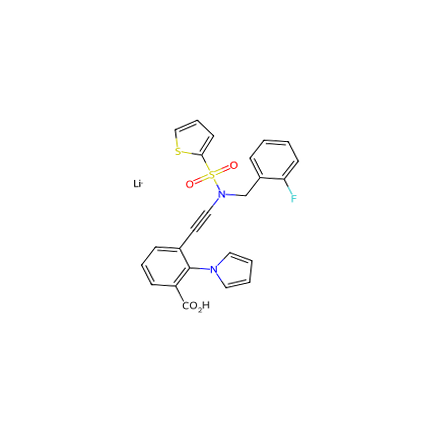 O=C(O)c1cccc(C#CN(Cc2ccccc2F)S(=O)(=O)c2cccs2)c1-n1cccc1.[Li]